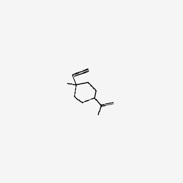 C=CC1(C)CCC(C(=C)C)CC1